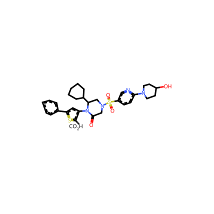 O=C(O)c1sc(-c2ccccc2)cc1N1C(=O)CN(S(=O)(=O)c2ccc(N3CCC(O)CC3)nc2)CC1C1CCCCC1